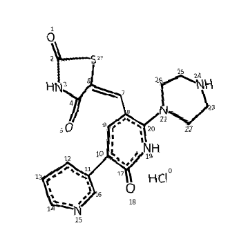 Cl.O=C1NC(=O)/C(=C\c2cc(-c3cccnc3)c(=O)[nH]c2N2CCNCC2)S1